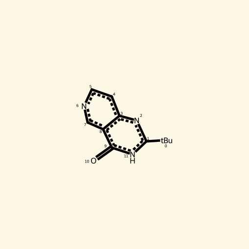 CC(C)(C)c1nc2ccncc2c(=O)[nH]1